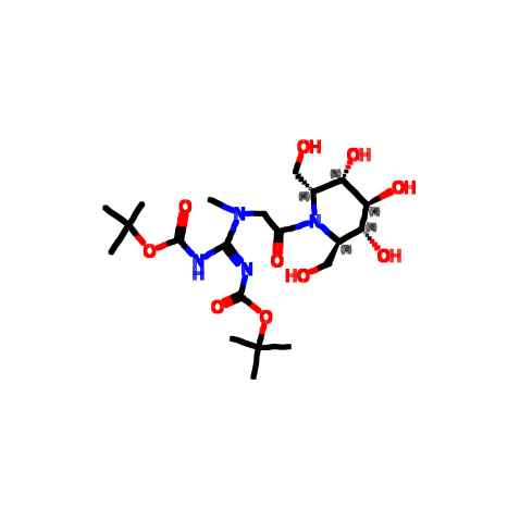 CN(CC(=O)N1[C@H](CO)[C@H](O)[C@@H](O)[C@H](O)[C@H]1CO)C(=NC(=O)OC(C)(C)C)NC(=O)OC(C)(C)C